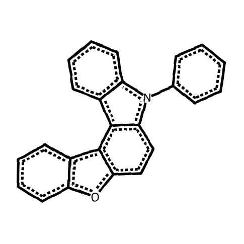 c1ccc(-n2c3ccccc3c3c4c(ccc32)oc2ccccc24)cc1